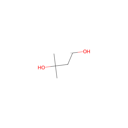 CC(C)(O)C[CH]O